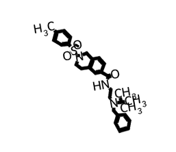 Cc1ccc(S(=O)(=O)N2CCc3cc(C(=O)NCCN(Cc4ccccc4)C(C)(C)C)ccc3C2)cc1